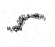 CN(CCC1CCN(C(=O)OC(C)(C)C)CC1)CC1CCC(n2cc(NC(=O)c3coc(-c4ccnc(N(CC5CC5)C(=O)OC(C)(C)C)c4)n3)c(C(F)F)n2)CC1